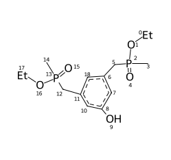 CCOP(C)(=O)Cc1cc(O)cc(CP(C)(=O)OCC)c1